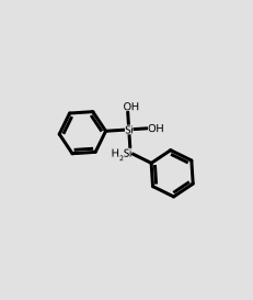 O[Si](O)([SiH2]c1ccccc1)c1ccccc1